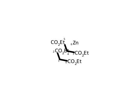 CCOC(=O)CC(=O)OCC.CCOC(=O)CC(=O)OCC.[Zn]